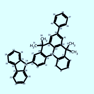 CC1(C)C2=C(CCC=C2)N2c3ccc(-n4c5ccccc5c5ccccc54)cc3C(C)(C)c3cc(-c4ccccc4)cc1c32